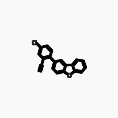 C#Cc1cc(Cl)ccc1-c1ccc2oc3ccccc3c2c1